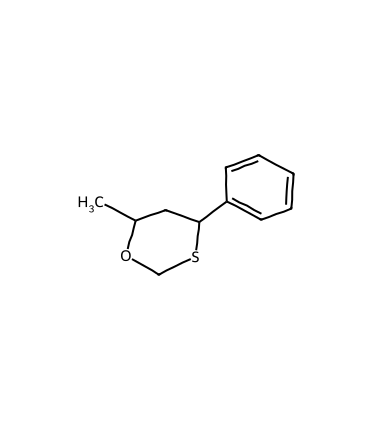 CC1CC(c2ccccc2)SCO1